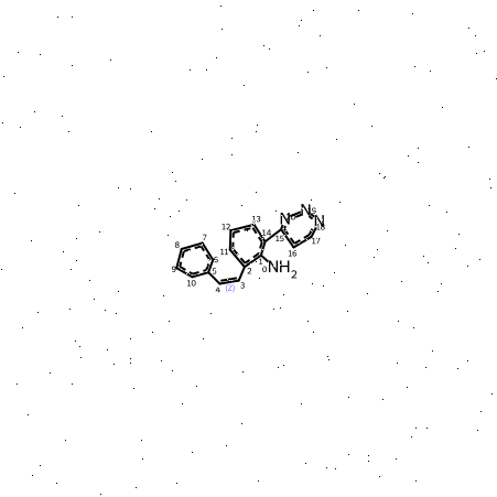 Nc1c(/C=C\c2ccccc2)cccc1-c1ccnnn1